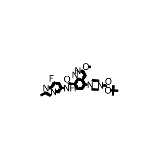 COc1cc2c(N3CCN(C(=O)OC(C)(C)C)CC3)ccc(C(=O)Nc3cc(F)c4nc(C)cn4c3)c2nn1